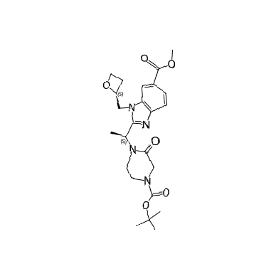 COC(=O)c1ccc2nc([C@H](C)N3CCN(C(=O)OC(C)(C)C)CC3=O)n(C[C@@H]3CCO3)c2c1